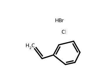 Br.C=Cc1ccccc1.[C]